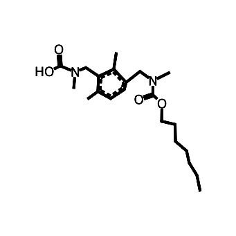 CCCCCCCOC(=O)N(C)Cc1ccc(C)c(CN(C)C(=O)O)c1C